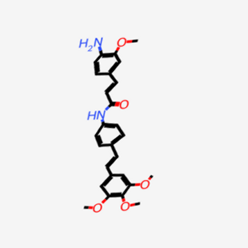 COc1cc(/C=C/C(=O)Nc2ccc(C=Cc3cc(OC)c(OC)c(OC)c3)cc2)ccc1N